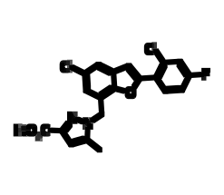 CCOC(=O)c1cc(C)n(Cc2cc(Cl)cc3cc(-c4ccc(F)cc4Cl)oc23)n1